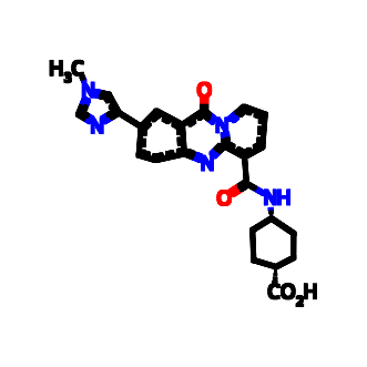 Cn1cnc(-c2ccc3nc4c(C(=O)N[C@H]5CC[C@@H](C(=O)O)CC5)cccn4c(=O)c3c2)c1